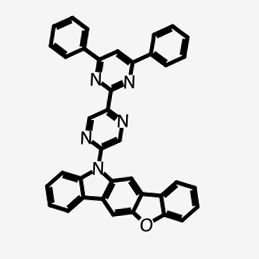 c1ccc(-c2cc(-c3ccccc3)nc(-c3cnc(-n4c5ccccc5c5cc6oc7ccccc7c6cc54)cn3)n2)cc1